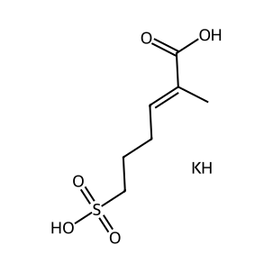 C/C(=C\CCCS(=O)(=O)O)C(=O)O.[KH]